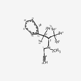 [2H]C([2H])([2H])[C@@H](N(C)CC#C)C([2H])([2H])c1ccccc1